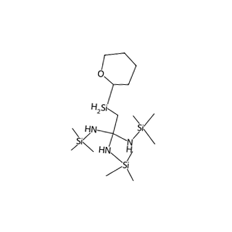 C[Si](C)(C)NC(C[SiH2]C1CCCCO1)(N[Si](C)(C)C)N[Si](C)(C)C